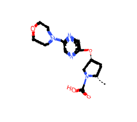 C[C@H]1C[C@@H](Oc2cnc(N3CCOCC3)cn2)CN1C(=O)O